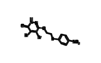 O=c1[nH]nc(OCCSc2ccc([N+](=O)[O-])cc2)c(Br)c1Br